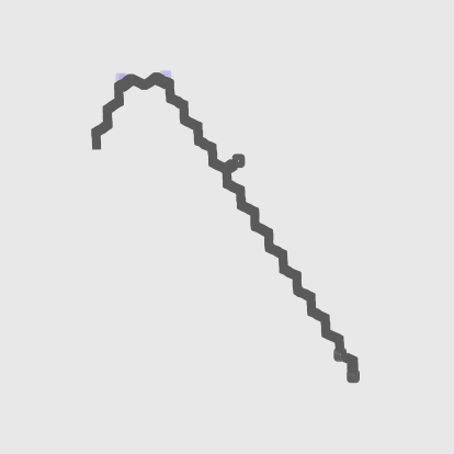 CCCCC/C=C\C/C=C\CCCCCCCC(=O)CCCCCCCCCCCCCCCCOC=O